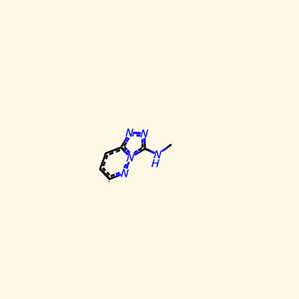 CNc1nnc2cc[c]nn12